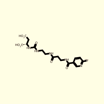 O=C(O)C[C@H](NC(=O)NCCNC(=O)CCNC(=O)c1ccc([18F])nc1)C(=O)O